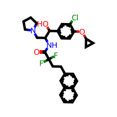 O=C(NC(CN1CCCC1)C(O)c1ccc(OC2CC2)c(Cl)c1)C(F)(F)CCc1ccc2ccccc2c1